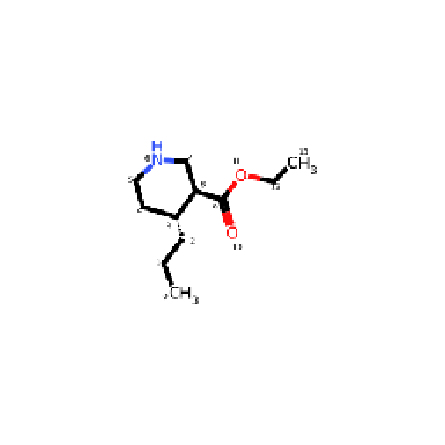 CCC[C@@H]1CCNCC1C(=O)OCC